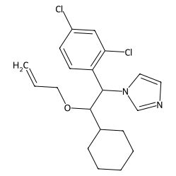 C=CCOC(C1CCCCC1)C(c1ccc(Cl)cc1Cl)n1ccnc1